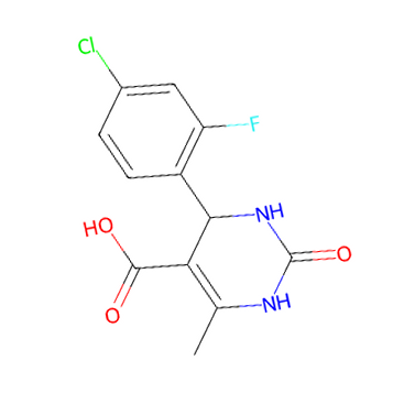 CC1=C(C(=O)O)C(c2ccc(Cl)cc2F)NC(=O)N1